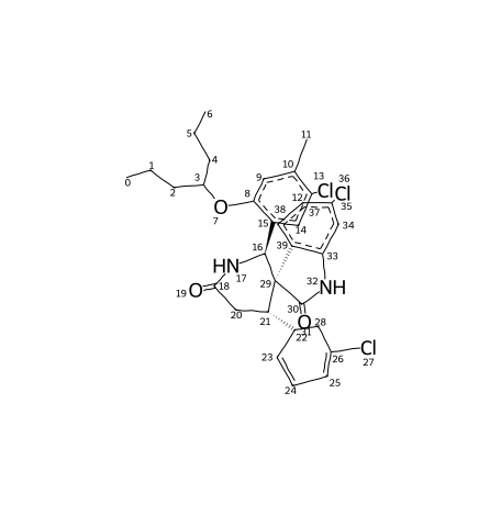 CCCC(CCC)Oc1cc(C)c(Cl)cc1[C@@H]1NC(=O)C[C@@H](C2C=CC=C(Cl)C2)[C@]12C(=O)Nc1cc(Cl)ccc12